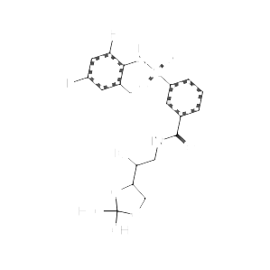 CC1(C)OCC(C(O)CNC(=O)c2cccc(S(=O)(=O)Nc3c(F)cc(F)cc3F)c2)O1